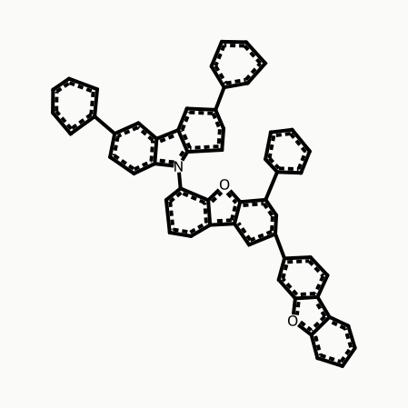 c1ccc(-c2ccc3c(c2)c2cc(-c4ccccc4)ccc2n3-c2cccc3c2oc2c(-c4ccccc4)cc(-c4ccc5c(c4)oc4ccccc45)cc23)cc1